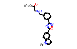 COC(=O)CNCc1cccc(-c2noc(-c3ccc4c(ccn4C(C)C)c3)n2)c1